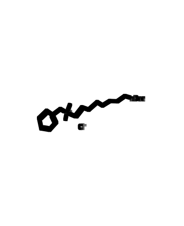 CCCCCCCCCCCCCCCC/C=C/[N+](C)(C)Cc1ccccc1.[Cl-]